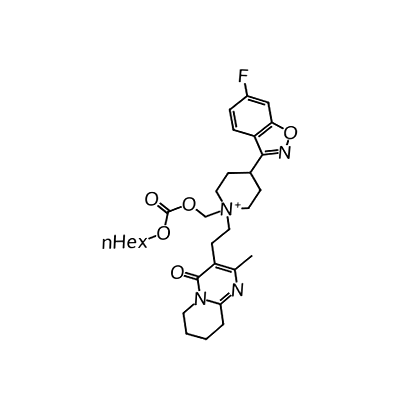 CCCCCCOC(=O)OC[N+]1(CCc2c(C)nc3n(c2=O)CCCC3)CCC(c2noc3cc(F)ccc23)CC1